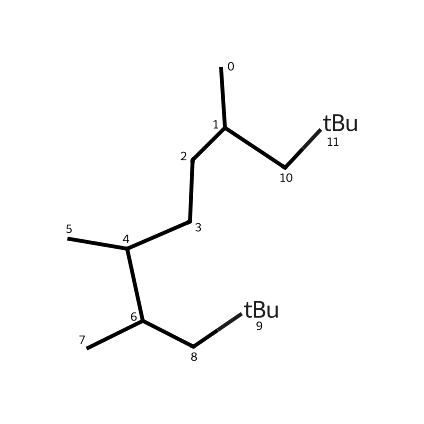 CC(CCC(C)C(C)CC(C)(C)C)CC(C)(C)C